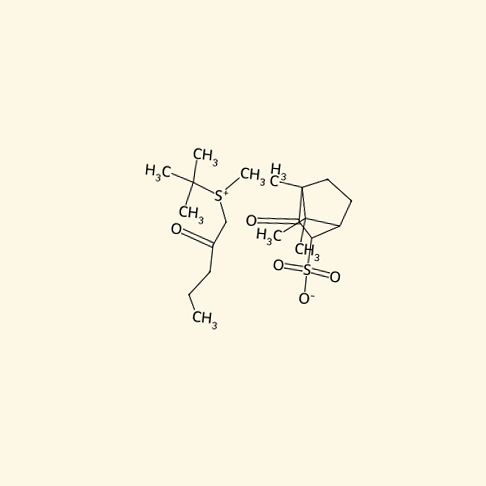 CC12CCC(C(S(=O)(=O)[O-])C1=O)C2(C)C.CCCC(=O)C[S+](C)C(C)(C)C